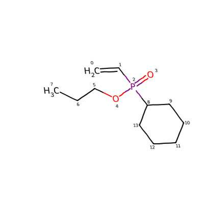 C=CP(=O)(OCCC)C1CCCCC1